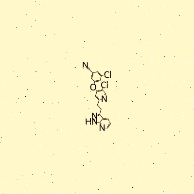 N#Cc1cc(Cl)cc(Oc2cc(CCc3n[nH]c4ncccc34)ncc2Cl)c1